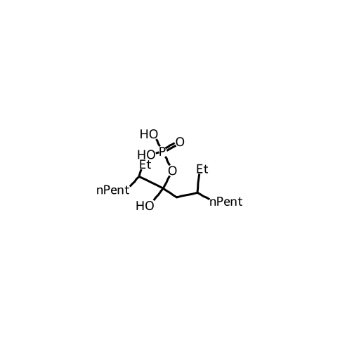 CCCCCC(CC)CC(O)(OP(=O)(O)O)C(CC)CCCCC